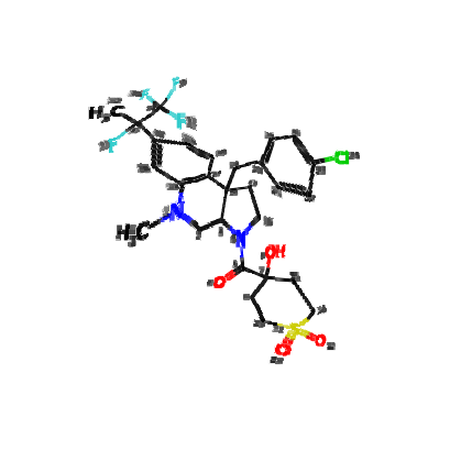 CN1CC2N(C(=O)C3(O)CCS(=O)(=O)CC3)CCC2(Cc2ccc(Cl)cc2)c2ccc(C(C)(F)C(F)(F)F)cc21